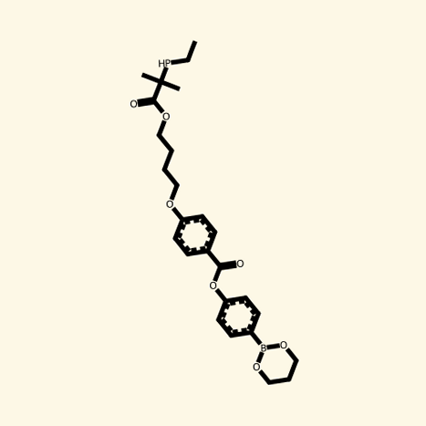 CCPC(C)(C)C(=O)OCCCCOc1ccc(C(=O)Oc2ccc(B3OCCCO3)cc2)cc1